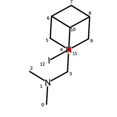 CN(C)CN1CC2CC(C1)C2CI